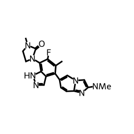 CNc1cn2cc(-c3c(C)c(F)c(N4CCN(C)C4=O)c4[nH]ncc34)ccc2n1